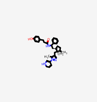 C=C1CC[C@H](CC(NC(=O)CCc2ccc(O)cc2)c2ccccc2)[C@@]1(C)Cc1cnn(C2=CNCC=C2)c1C